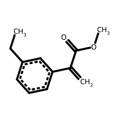 C=C(C(=O)OC)c1cccc(CC)c1